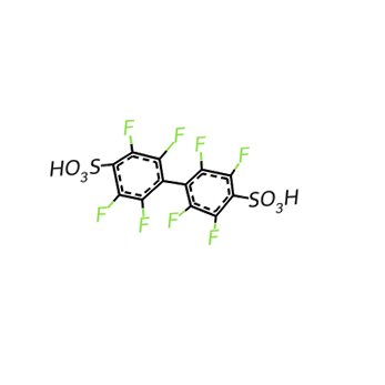 O=S(=O)(O)c1c(F)c(F)c(-c2c(F)c(F)c(S(=O)(=O)O)c(F)c2F)c(F)c1F